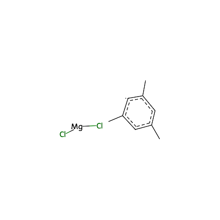 Cc1[c]c(C)cc(C)c1.[Cl][Mg][Cl]